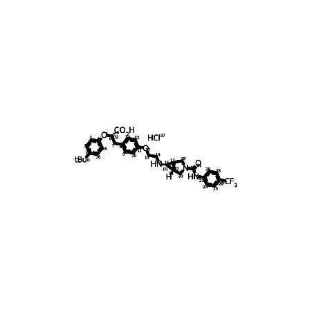 CC(C)(C)c1ccc(O[C@@H](Cc2ccc(OCCN[C@H]3C4CN(C(=O)Nc5ccc(C(F)(F)F)cc5)C[C@@H]43)cc2)C(=O)O)cc1.Cl